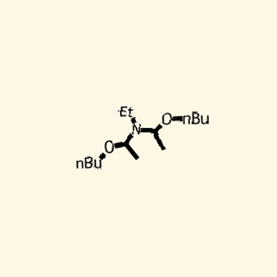 C[CH]N(C(C)OCCCC)C(C)OCCCC